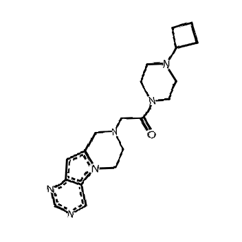 O=C(CN1CCn2c(cc3ncncc32)C1)N1CCN(C2CCC2)CC1